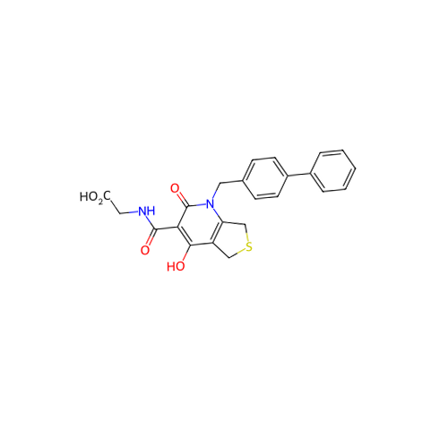 O=C(O)CNC(=O)c1c(O)c2c(n(Cc3ccc(-c4ccccc4)cc3)c1=O)CSC2